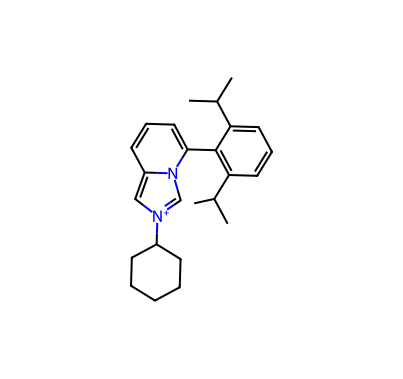 CC(C)c1cccc(C(C)C)c1-c1cccc2c[n+](C3CCCCC3)cn12